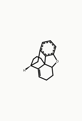 C1=C2[C@@H]3CCCC24c2c(cccc2OC4CC1)C3